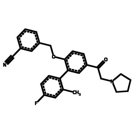 Cc1cc(F)ccc1-c1cc(C(=O)CN2CCCC2)ccc1OCc1cccc(C#N)c1